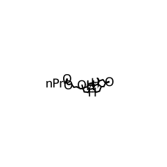 CCCC(=O)OCCCCC1(O)CC[C@H]2[C@@H]3CCC4CC(=O)CC(C)[C@]4(C)[C@@H]3CC[C@@]21C